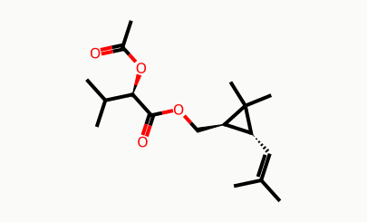 CC(=O)O[C@@H](C(=O)OC[C@@H]1[C@@H](C=C(C)C)C1(C)C)C(C)C